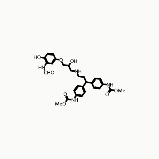 COC(=O)Nc1ccc(C(CCNCC(O)COc2ccc(O)c(NC=O)c2)c2ccc(NC(=O)OC)cc2)cc1